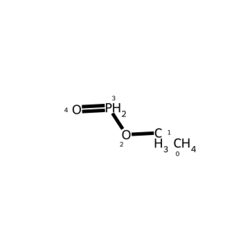 C.CO[PH2]=O